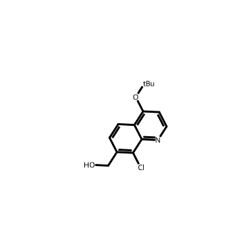 CC(C)(C)Oc1ccnc2c(Cl)c(CO)ccc12